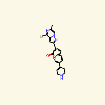 CCc1nc(C)cn2nc(C3=C\C(=O)N4C=C(C5=CCNCC5)C=C\C4=C/C=C/3)cc12